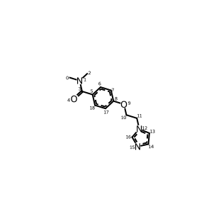 CN(C)C(=O)c1ccc(OCCn2ccnc2)cc1